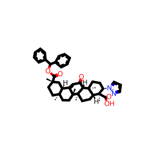 C[C@]1(C(=O)OC(c2ccccc2)c2ccccc2)CC[C@]2(C)CC[C@]3(C)C(=CC(=O)[C@@H]4[C@@]5(C)CC[C@H](n6cccn6)[C@@](C)(C(=O)O)[C@@H]5CC[C@]43C)[C@@H]2C1